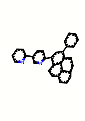 c1ccc(-c2cc(-c3ccc(-c4ccccn4)cn3)c3ccc4cccc5ccc2c3c54)cc1